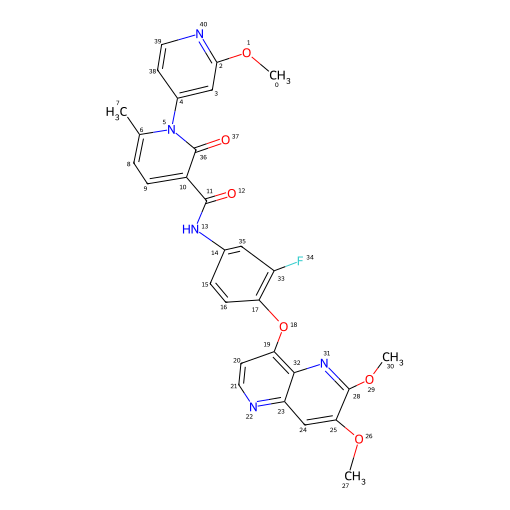 COc1cc(-n2c(C)ccc(C(=O)Nc3ccc(Oc4ccnc5cc(OC)c(OC)nc45)c(F)c3)c2=O)ccn1